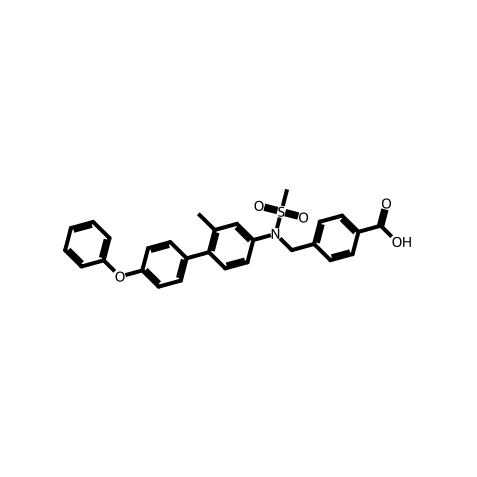 Cc1cc(N(Cc2ccc(C(=O)O)cc2)S(C)(=O)=O)ccc1-c1ccc(Oc2ccccc2)cc1